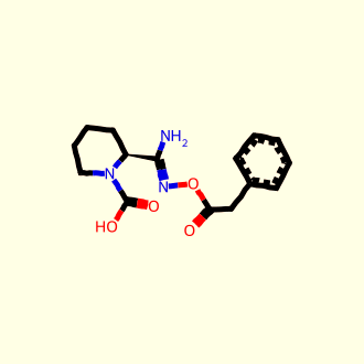 N/C(=N\OC(=O)Cc1ccccc1)[C@@H]1CCCCN1C(=O)O